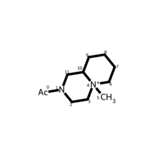 CC(=O)N1CC[N+]2(C)CCCCC2C1